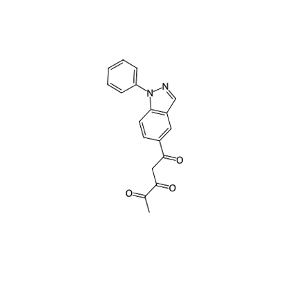 CC(=O)C(=O)CC(=O)c1ccc2c(cnn2-c2ccccc2)c1